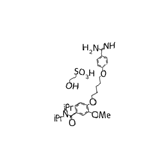 COc1cc(C(=O)N(C(C)C)C(C)C)ccc1OCCCCCOc1ccc(C(=N)N)cc1.O=S(=O)(O)CCO